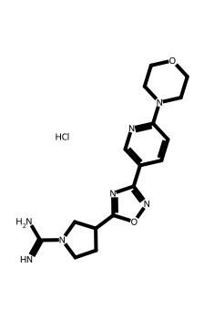 Cl.N=C(N)N1CCC(c2nc(-c3ccc(N4CCOCC4)nc3)no2)C1